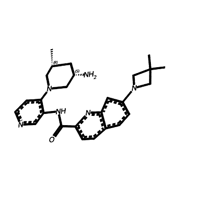 C[C@@H]1C[C@H](N)CN(c2ccncc2NC(=O)c2ccc3ccc(N4CC(C)(C)C4)cc3n2)C1